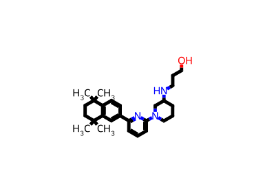 CC1(C)CCC(C)(C)c2cc(-c3cccc(N4CCCC(NCCCO)C4)n3)ccc21